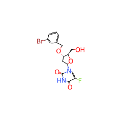 O=c1[nH]c(=O)n([C@H]2C[C@H](OCc3cccc(Br)c3)[C@@H](CO)O2)cc1F